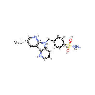 COc1cnc2c(c1)c1ncccc1n2Cc1ccc(S(N)(=O)=O)cc1